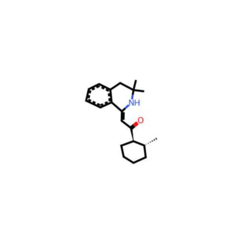 C[C@@H]1CCCC[C@H]1C(=O)/C=C1\NC(C)(C)Cc2ccccc21